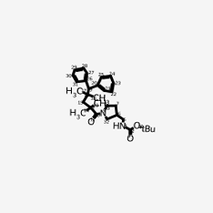 CC(C)(C)OC(=O)NCC1CCN(C(=O)C(C)(C)CC(C)(C)C(c2ccccc2)c2ccccc2)C1